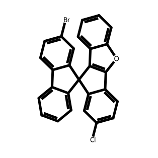 Clc1ccc2c(c1)C1(c3ccccc3-c3ccc(Br)cc31)c1c-2oc2ccccc12